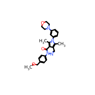 COCc1ccc(-n2ncc3c(C)n(-c4cccc(N5CCOCC5)c4)c(C)c3c2=O)cc1